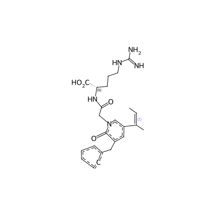 C/C=C(/C)c1cc(Cc2ccccc2)c(=O)n(CC(=O)N[C@@H](CCCNC(=N)N)C(=O)O)c1